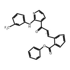 O=C(Oc1ccccc1)c1ccccc1/C=C/C(=O)c1cccnc1Nc1cccc(C(F)(F)F)c1